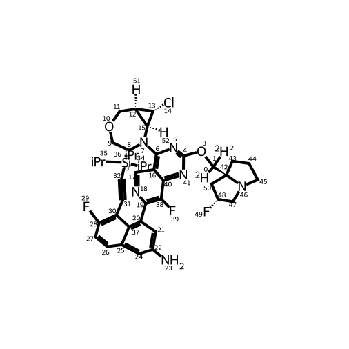 [2H]C([2H])(Oc1nc(N2CCOC[C@H]3[C@H](Cl)[C@H]32)c2cnc(-c3cc(N)cc4ccc(F)c(C#C[Si](C(C)C)(C(C)C)C(C)C)c34)c(F)c2n1)[C@@]12CCCN1C[C@H](F)C2